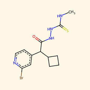 CNC(=S)NNC(=O)C(c1ccnc(Br)c1)C1CCC1